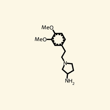 COc1ccc(CCN2CCC(N)C2)cc1OC